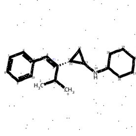 CC(C)/C(=C\c1ccccc1)[C@@H]1CC1NC1CCCCC1